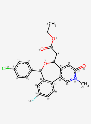 CCOC(=O)CC1OC(c2ccc(Cl)cc2)c2cc(F)ccc2-c2cn(C)c(=O)cc21